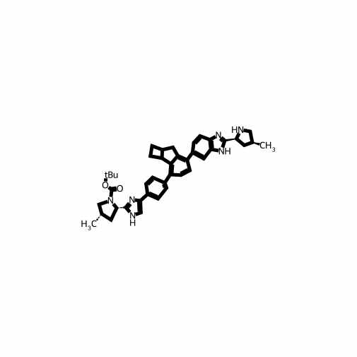 C[C@@H]1CN[C@H](c2nc3ccc(-c4ccc(-c5ccc(-c6c[nH]c([C@@H]7C[C@H](C)CN7C(=O)OC(C)(C)C)n6)cc5)c5c4CC4CCC54)cc3[nH]2)C1